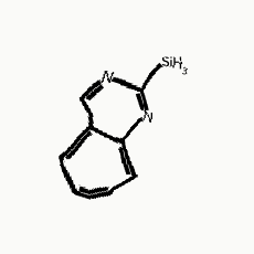 [SiH3]c1ncc2ccccc2n1